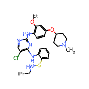 CCOc1cc(OC2CCN(C)CC2)ccc1Nc1ncc(Cl)c(Nc2ccccc2SNCC(C)C)n1